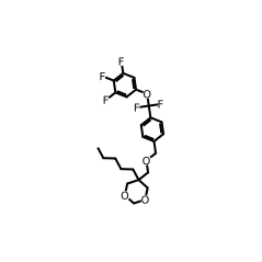 CCCCCC1(COCc2ccc(C(F)(F)Oc3cc(F)c(F)c(F)c3)cc2)COCOC1